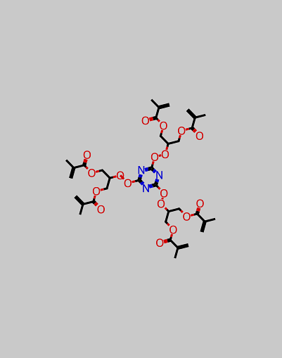 C=C(C)C(=O)OCC(COC(=O)C(=C)C)OOc1nc(OOC(COC(=O)C(=C)C)COC(=O)C(=C)C)nc(OOC(COC(=O)C(=C)C)COC(=O)C(=C)C)n1